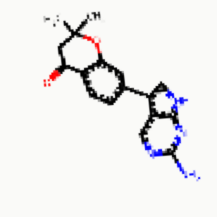 CC1(C)CC(=O)c2ccc(-c3c[nH]c4nc(N)ncc34)cc2O1